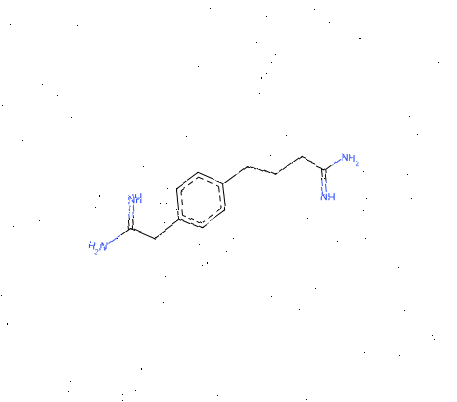 N=C(N)CCCc1ccc(CC(=N)N)cc1